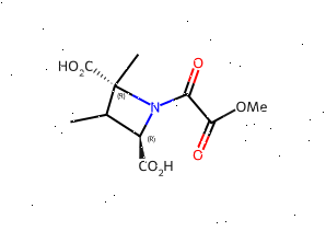 COC(=O)C(=O)N1[C@@H](C(=O)O)C(C)[C@]1(C)C(=O)O